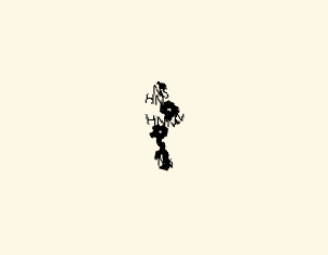 Cc1cc(Nc2ncnc3ccc(Nc4nccs4)cc23)ccc1CCc1ccn2ccnc2c1